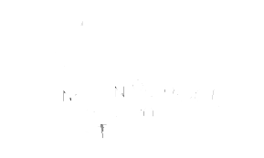 CCOC(=O)ON1CC2N(Cc3ccccc3)CCC2(F)C1